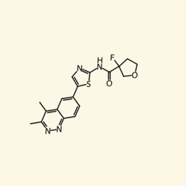 Cc1nnc2ccc(-c3cnc(NC(=O)C4(F)CCOC4)s3)cc2c1C